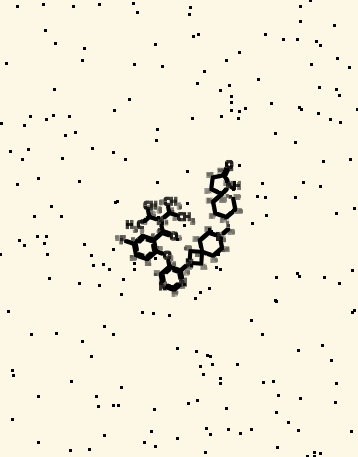 CC(C)N(C(=O)c1cc(F)ccc1Oc1cncnc1N1CC2(CCN(C[C@H]3CC[C@@]4(CCC(=O)N4)CC3)CC2)C1)C(C)C